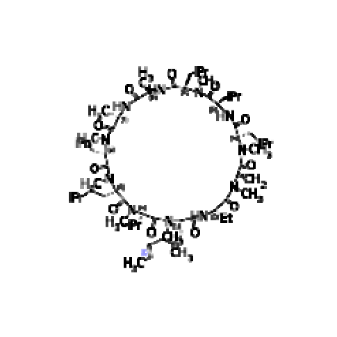 C=C1C(=O)N(C)[C@@H](CC(C)C)C(=O)N[C@H](C(C)C)C(=O)N(C)[C@H](CC(C)C)C(=O)N[C@H](C)C(=O)N[C@@H](C)C(=O)N(C)[C@@H](CC(C)C)C(=O)N(C)[C@@H](CCC(C)C)C(=O)N(C)[C@@H](C(C)C)C(=O)N(C)[C@@H](C[C@H](C)C/C=C/C)C(=O)N[C@@H](CC)C(=O)N1C